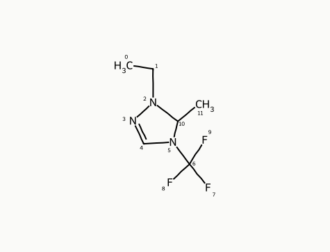 CCN1N=CN(C(F)(F)F)C1C